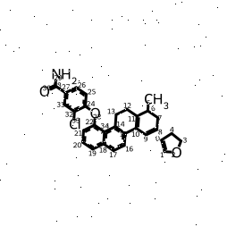 C1=COCC1.CC1CC=CC2=C1CCc1c2ccc2cccc(Oc3ccc(C(N)=O)cc3Cl)c12